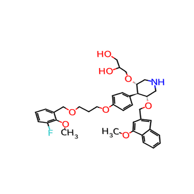 COc1c(F)cccc1COCCCOc1ccc([C@@H]2[C@@H](OCc3cc(OC)c4ccccc4c3)CNC[C@H]2OCC(O)CO)cc1